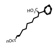 CCCCCCCCC=CCCCCCCC(C(=O)O)c1ccccc1